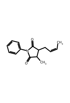 C/C=C\CC1C(=O)N(c2ccccc2)C(=O)C1C